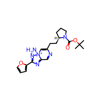 CC(C)(C)OC(=O)N1CCC[C@@H]1CCC1=C[N+]2(N)N=C(c3ccco3)N=C2C=N1